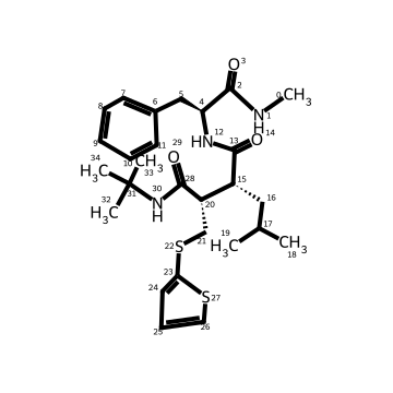 CNC(=O)[C@H](Cc1ccccc1)NC(=O)[C@H](CC(C)C)[C@H](CSc1cccs1)C(=O)NC(C)(C)C